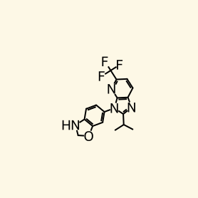 CC(C)c1nc2ccc(C(F)(F)F)nc2n1-c1ccc2c(c1)OCN2